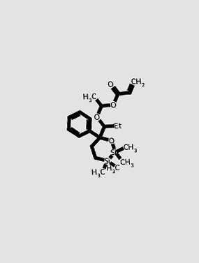 C=CC(=O)OC(C)OC(CC)C1(c2ccccc2)CC[Si](C)(C)[Si](C)(C)O1